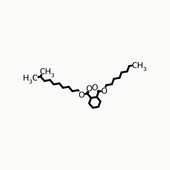 CCCCCCCCOC(=O)C1CCCCC1C(=O)OCCCCCCCCC(C)C